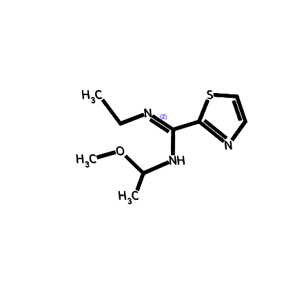 CC/N=C(\NC(C)OC)c1nccs1